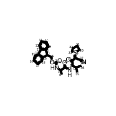 CC(NC(=O)OCC1c2ccccc2-c2ccccc21)C(=O)N[C@H](C(=O)C(C#N)=S1CCCC1)C(C)C